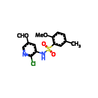 COc1ccc(C)cc1S(=O)(=O)Nc1cc(C=O)cnc1Cl